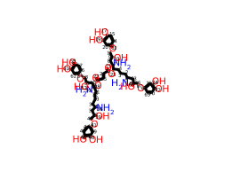 NC(CCCCC(N)(CC(O)COc1ccc(O)c(O)c1)OC(=O)/C=C/C(=O)OC(N)(CCCCC(N)CC(O)COc1ccc(O)c(O)c1)CC(O)COc1ccc(O)c(O)c1)CC(O)COc1ccc(O)c(O)c1